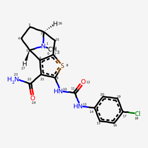 CN1[C@H]2CC[C@H]1c1c(sc(NC(=O)Nc3ccc(Cl)cc3)c1C(N)=O)C2